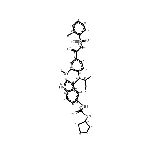 COc1cc(C(=O)NS(=O)(=O)c2ccccc2C)ccc1C(c1c[nH]c2ccc(NC(=O)OC3CCCC3)cc12)C(F)F